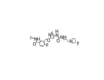 O=C(NCCCN1CC[C@H](F)C1)Nc1cc(OCc2cc(C(=O)NC3CC3)ccc2F)ns1